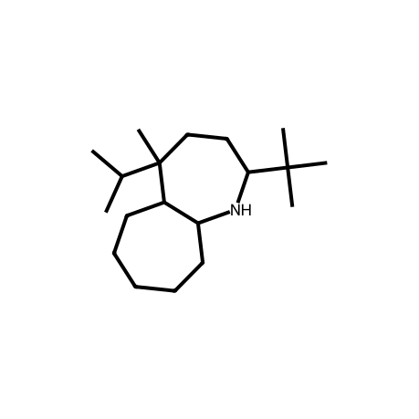 CC(C)C1(C)CCC(C(C)(C)C)NC2CCCCCC21